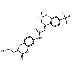 CC1(C)C/C(=C\C(=O)Nc2ccc3c(c2)NC(=O)N(CCO)C3)c2ccc(C(F)(F)F)cc2O1